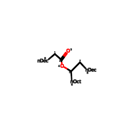 CCCCCCCCCCCC(=O)OC(CCCCCCCC)CCCCCCCCCCC